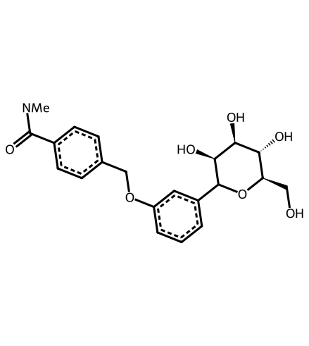 CNC(=O)c1ccc(COc2cccc(C3O[C@H](CO)[C@@H](O)[C@H](O)[C@@H]3O)c2)cc1